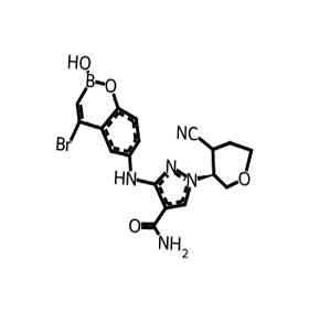 N#CC1CCOC[C@H]1n1cc(C(N)=O)c(Nc2ccc3c(c2)C(Br)=CB(O)O3)n1